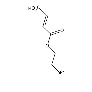 CC(C)CCOC(=O)C=CC(=O)O